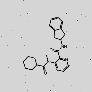 CN(C(=O)C1CCCCC1)c1nccnc1C(=O)NC1Cc2ccccc2C1